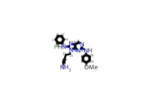 COc1ccc(Nc2ncc3nc(Nc4ccccc4F)n(CCC#CN)c3n2)cc1